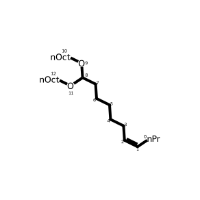 CCC/C=C\CCCCCC(OCCCCCCCC)OCCCCCCCC